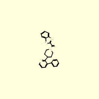 O=C(c1nc2ccccc2[nH]1)N1CCC(c2ncccc2-c2ccccc2)CC1